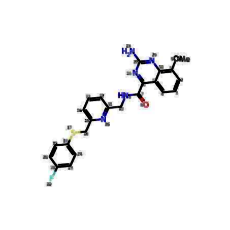 COc1cccc2c(C(=O)NCc3cccc(CSc4ccc(F)cc4)n3)nc(N)nc12